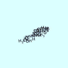 COC(=O)C(CNC(=O)c1cccs1)NC(=O)c1c(C)nc(NCCCc2ccc(C)c(O)c2)nc1C